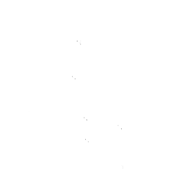 CC(C)c1nnc(Cc2c(-c3ccccc3)nc3ccc(Cl)cn23)[nH]1